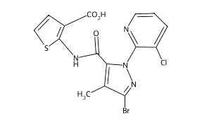 Cc1c(Br)nn(-c2ncccc2Cl)c1C(=O)Nc1sccc1C(=O)O